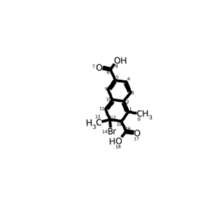 CC1=c2ccc(C(=O)O)cc2=CC(C)(Br)C1C(=O)O